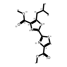 COC(=O)c1csc(-c2nc(C(=O)OC)c(CC(C)C)s2)n1